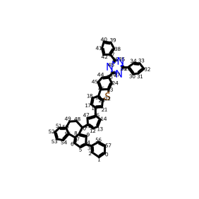 c1ccc(-c2ccc3c(c2)C(c2cccc(-c4ccc5c(c4)sc4cc(-c6nc(-c7ccccc7)nc(-c7ccccc7)n6)ccc45)c2)CCc2ccccc2-3)cc1